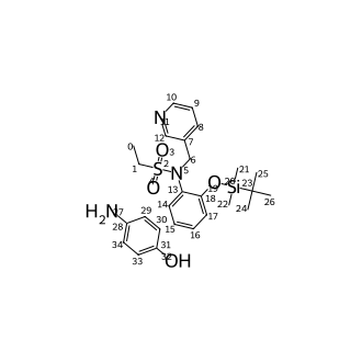 CCS(=O)(=O)N(Cc1cccnc1)c1ccccc1O[Si](C)(C)C(C)(C)C.Nc1ccc(O)cc1